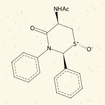 CC(=O)N[C@H]1C[S@+]([O-])[C@@H](c2ccccc2)N(c2ccccc2)C1=O